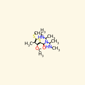 CNC(C)N(C(=O)c1sc(SC)c(C)c1OC)C(C)NC